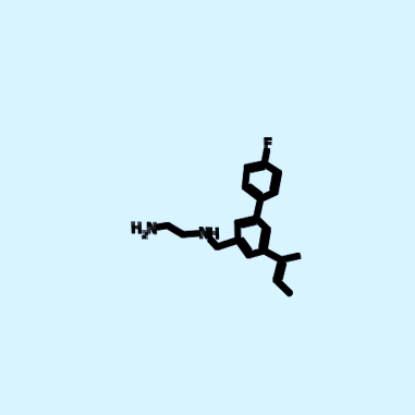 C/C=C(\C)c1cc(CNCCN)cc(-c2ccc(F)cc2)c1